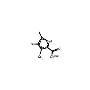 COC(=O)c1[nH]c(C)c(C)c1N